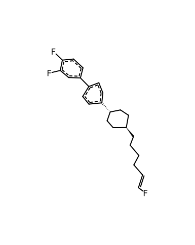 FC=CCCCC[C@H]1CC[C@H](c2ccc(-c3ccc(F)c(F)c3)cc2)CC1